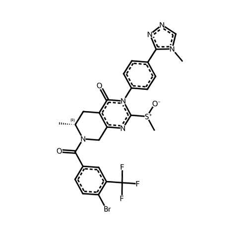 C[C@@H]1Cc2c(nc([S+](C)[O-])n(-c3ccc(-c4nncn4C)cc3)c2=O)CN1C(=O)c1ccc(Br)c(C(F)(F)F)c1